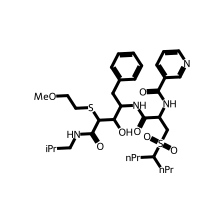 CCCC(CCC)S(=O)(=O)CC(NC(=O)c1cccnc1)C(=O)NC(Cc1ccccc1)C(O)C(SCCOC)C(=O)NCC(C)C